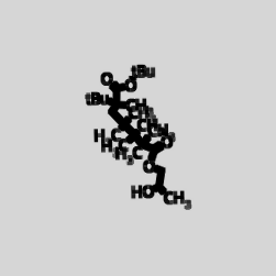 CC(O)COC(=O)C(C)(C)C(C)(C)C(C)(C)CC(C)(C(=O)OC(C)(C)C)C(C)(C)C